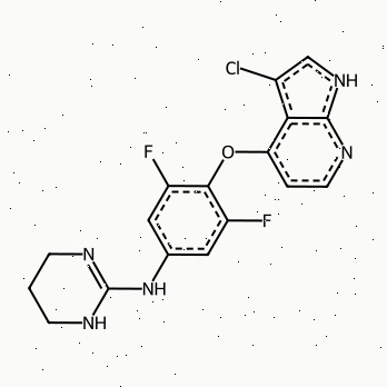 Fc1cc(NC2=NCCCN2)cc(F)c1Oc1ccnc2[nH]cc(Cl)c12